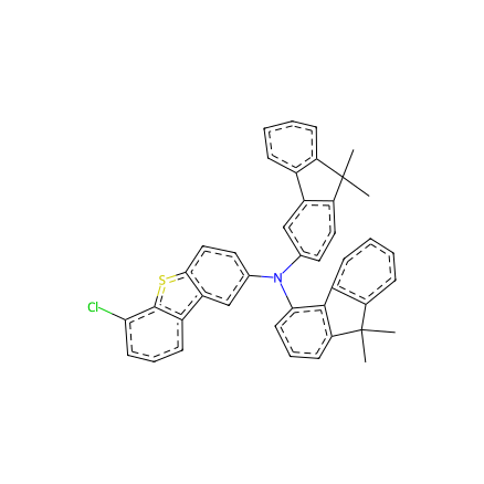 CC1(C)c2ccccc2-c2cc(N(c3ccc4sc5c(Cl)cccc5c4c3)c3cccc4c3-c3ccccc3C4(C)C)ccc21